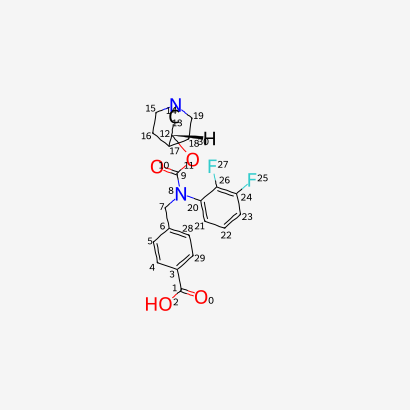 O=C(O)c1ccc(CN(C(=O)O[C@H]2CN3CCC2CC3)c2cccc(F)c2F)cc1